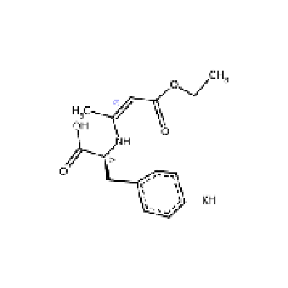 CCOC(=O)/C=C(/C)N[C@@H](Cc1ccccc1)C(=O)O.[KH]